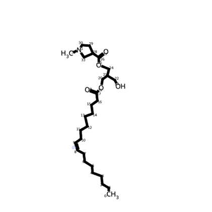 CCCCCCCC/C=C\CCCCCCCC(=O)OCC(CO)COC(=O)C1CCN(C)C1